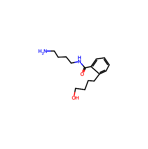 NCCCCNC(=O)c1ccccc1CCCCO